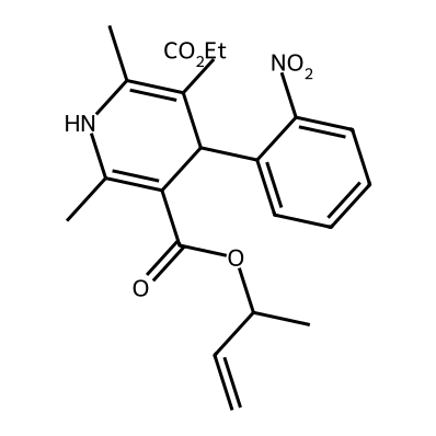 C=CC(C)OC(=O)C1=C(C)NC(C)=C(C(=O)OCC)C1c1ccccc1[N+](=O)[O-]